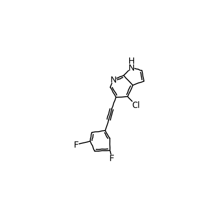 Fc1cc(F)cc(C#Cc2cnc3[nH]ccc3c2Cl)c1